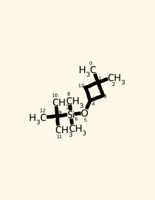 CC1(C)CC(O[Si](C)(C)C(C)(C)C)C1